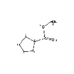 [CH2]CCCOC(=O)C1CCCC1